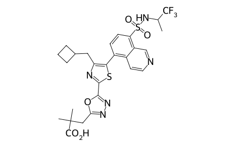 CC(NS(=O)(=O)c1ccc(-c2sc(-c3nnc(CC(C)(C)C(=O)O)o3)nc2CC2CCC2)c2ccncc12)C(F)(F)F